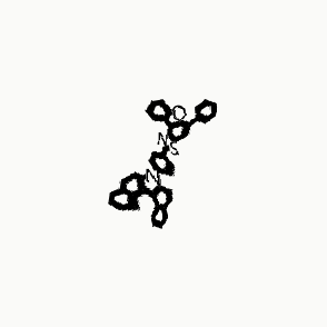 C1=CC2C(c3ccccc31)c1c(ccc3ccccc13)N2c1ccc(-c2nc3c(cc(-c4ccccc4)c4oc5ccccc5c43)s2)cc1